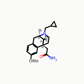 CC[C@H]1[C@H]2Cc3ccc(OC)cc3[C@@]1(CC(N)=O)CCN2CC1CC1